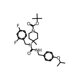 CC(C)Oc1ccc(CNC(=O)N(Cc2ccc(F)cc2F)C2(C)CCN(C(=O)OC(C)(C)C)CC2)cc1